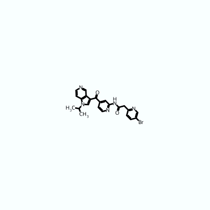 CC(C)n1cc(C(=O)c2ccnc(NC(=O)Cc3ccc(Br)cn3)c2)c2cnccc21